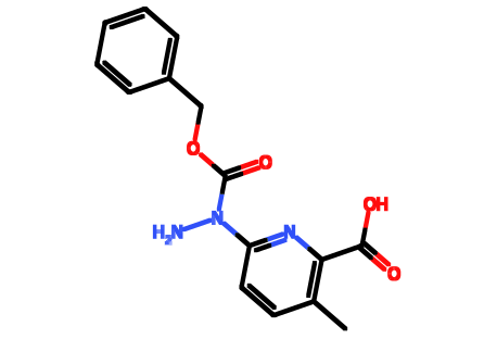 Cc1ccc(N(N)C(=O)OCc2ccccc2)nc1C(=O)O